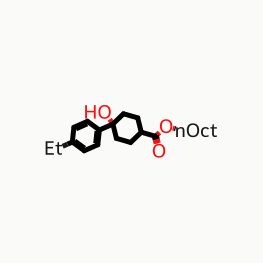 CCCCCCCCOC(=O)C1CCC(O)(c2ccc(CC)cc2)CC1